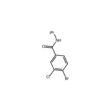 CC(C)NC(=O)c1ccc(Br)c(Cl)c1